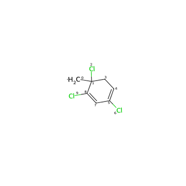 [CH2]C1(Cl)CC=C(Cl)C=C1Cl